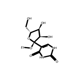 CCO[C@@]1(c2c[nH]c(=O)[nH]c2=O)O[C@H](CO)[C@@H](O)[C@H]1O